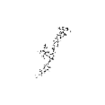 C=CC(=O)Oc1ccc(C#Cc2ccc(C#Cc3ccc(-c4ccc(OC(=O)C(=C)C)cc4)cc3)c(OC(=O)C(=C)C)c2C)cc1